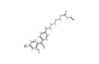 C=CCN(C)CCCCCCOc1ccc(C(=O)c2ccc(Br)cc2F)cc1